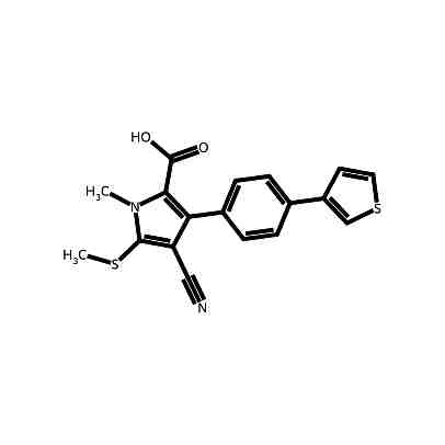 CSc1c(C#N)c(-c2ccc(-c3ccsc3)cc2)c(C(=O)O)n1C